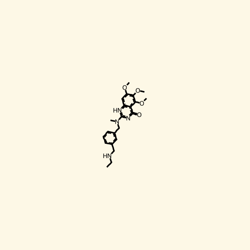 CCNCc1cccc(CN(C)c2nc(=O)c3c(OC)c(OC)c(OC)cc3[nH]2)c1